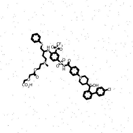 CN(CCOC(=O)COCC(=O)O)CCC(CSc1ccccc1)Nc1ccc(S(=O)(=O)NC(=O)c2ccc(N3CCC([C@@H](O)c4ccccc4-c4ccc(Cl)cc4)CC3)cc2)cc1S(=O)(=O)C(F)(F)F